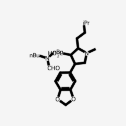 CC(C)CCC1C(C(=O)O)C(c2ccc3c(c2)OCO3)CN1C.CCCCN(C=O)CCCC